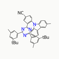 Cc1cc(-c2nc(-c3cc(C)cc(C(C)(C)C)c3)nc(-c3cc(C#N)ccc3-n3c4ccccc4c4cc(C)ccc43)n2)cc(C(C)(C)C)c1